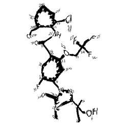 Cn1c(C(C)(C)O)nn(-c2cc(OCC(F)(F)F)c(C(=O)Nc3c(Cl)cccc3Cl)cc2F)c1=O